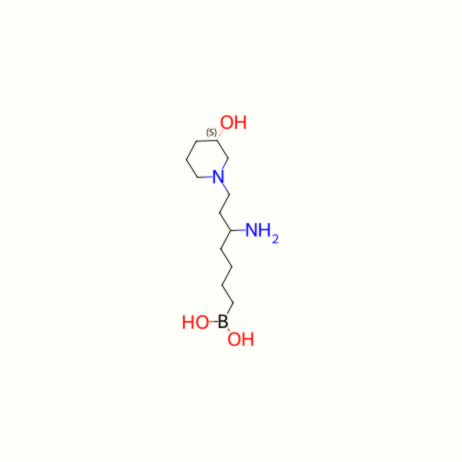 NC(CCCCB(O)O)CCN1CCC[C@H](O)C1